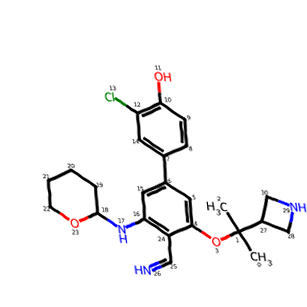 CC(C)(Oc1cc(-c2ccc(O)c(Cl)c2)cc(NC2CCCCO2)c1C=N)C1CNC1